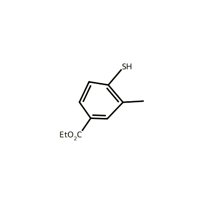 CCOC(=O)c1ccc(S)c(C)c1